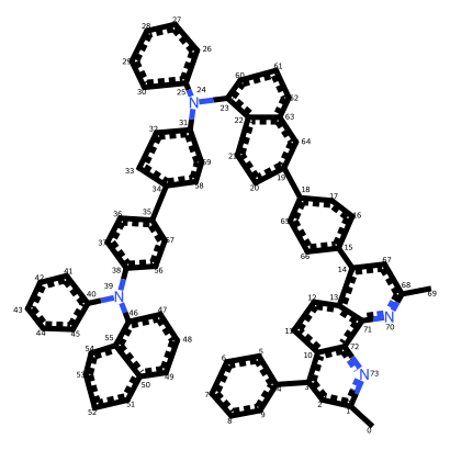 Cc1cc(-c2ccccc2)c2ccc3c(-c4ccc(-c5ccc6c(N(c7ccccc7)c7ccc(-c8ccc(N(c9ccccc9)c9cccc%10ccccc9%10)cc8)cc7)cccc6c5)cc4)cc(C)nc3c2n1